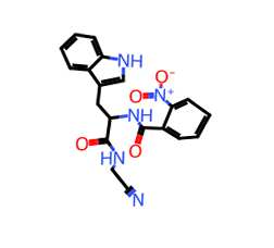 N#CCNC(=O)C(Cc1c[nH]c2ccccc12)NC(=O)c1ccccc1[N+](=O)[O-]